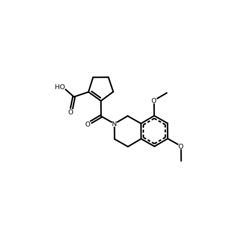 COc1cc2c(c(OC)c1)CN(C(=O)C1=C(C(=O)O)CCC1)CC2